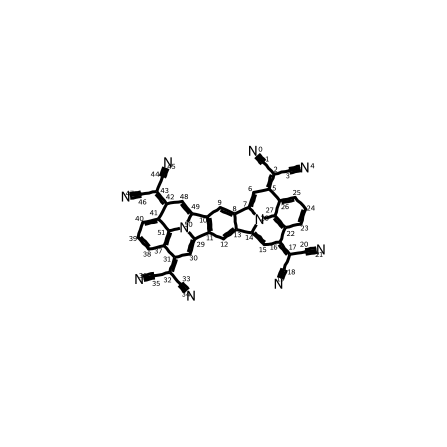 N#CC(C#N)=c1cc2c3cc4c(cc3c3cc(=C(C#N)C#N)c5cccc1c5n23)c1cc(=C(C#N)C#N)c2cccc3c(=C(C#N)C#N)cc4n1c32